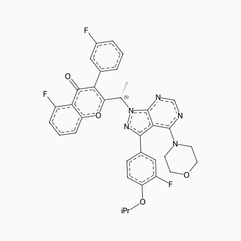 CC(C)Oc1ccc(-c2nn([C@@H](C)c3oc4cccc(F)c4c(=O)c3-c3cccc(F)c3)c3ncnc(N4CCOCC4)c23)cc1F